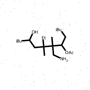 CCC(C)CC(OC(C)=O)C(C)(CN)C(C)(CC)CC(O)C(C)CC